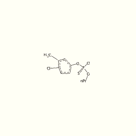 CCCOP(=S)(Cl)Oc1ccc(Cl)c(C)c1